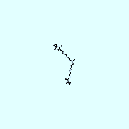 CN(CCOCCCNC(=O)C1(C)CC1)CCOCCCNC(=O)C1(C)CC1